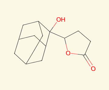 O=C1CCC(C2(O)C3CC4CC(C3)CC2C4)O1